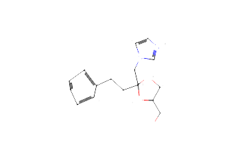 OCC1COC(CCc2ccccc2)(Cn2ccnc2)O1